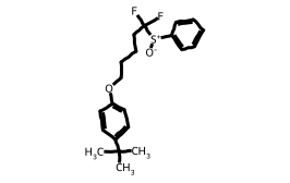 CC(C)(C)c1ccc(OCCCCC(F)(F)[S+]([O-])c2ccccc2)cc1